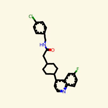 O=C(CC1CCC(c2ccnc3ccc(F)cc23)CC1)NCc1ccc(Cl)cc1